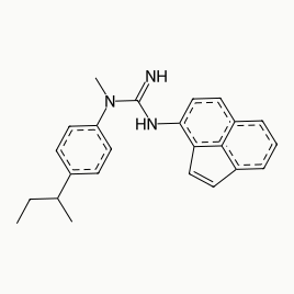 CCC(C)c1ccc(N(C)C(=N)Nc2ccc3cccc4c3c2C=C4)cc1